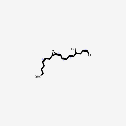 CC/C=C\CC(O)/C=C/C=C\C=C1\OC1C/C=C\CCCC=O